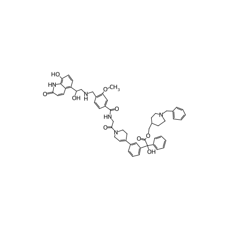 COc1cc(C(=O)NCC(=O)N2CC=C(c3cccc(C(O)(C(=O)OCC4CCN(Cc5ccccc5)CC4)c4ccccc4)c3)CC2)ccc1CNCC(O)c1ccc(O)c2[nH]c(=O)ccc12